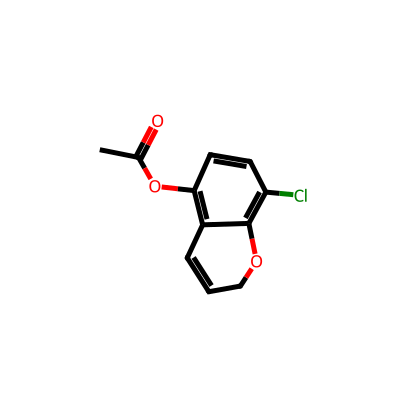 CC(=O)Oc1ccc(Cl)c2c1C=CCO2